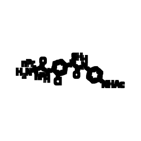 CCCC(N)(CCC)C(=O)Nc1ccc(N(S)C(=O)Nc2ccc(NC(C)=O)cc2)cc1Cl